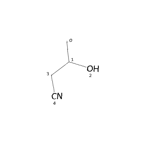 CC(O)CC#N